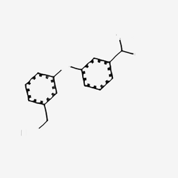 CCc1cccc(Oc2cccc(C(C)C)c2)c1